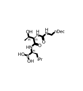 CCCCCCCCCCCNC(=O)N[C@H](C(=O)N[C@@H](CC(C)C)B(O)O)[C@@H](C)O